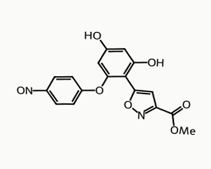 COC(=O)c1cc(-c2c(O)cc(O)cc2Oc2ccc(N=O)cc2)on1